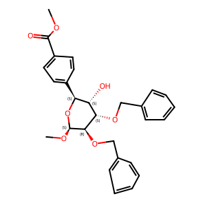 COC(=O)c1ccc([C@@H]2O[C@H](OC)[C@H](OCc3ccccc3)[C@@H](OCc3ccccc3)[C@H]2O)cc1